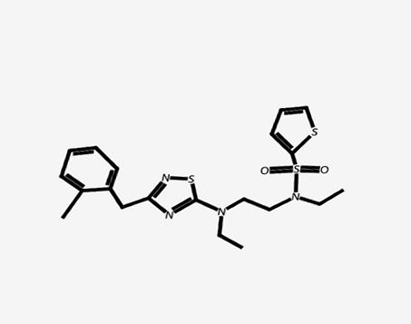 CCN(CCN(CC)S(=O)(=O)c1cccs1)c1nc(Cc2ccccc2C)ns1